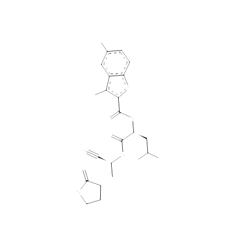 Cc1ccc2[nH]c(C(=O)N[C@@H](CC(C)C)C(=O)N[C@H](C#N)C[C@@H]3CCNC3=O)c(C)c2c1